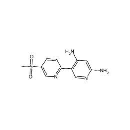 CS(=O)(=O)c1ccc(-c2cnc(N)cc2N)nc1